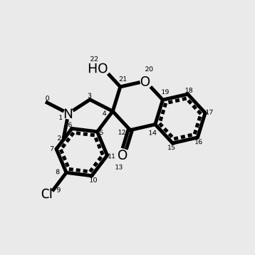 CN(C)CC1(c2ccc(Cl)cc2)C(=O)c2ccccc2OC1O